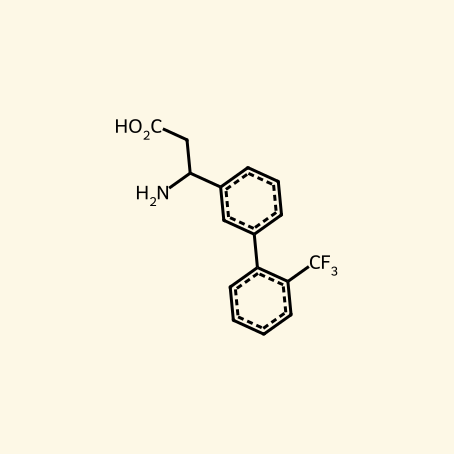 NC(CC(=O)O)c1cccc(-c2ccccc2C(F)(F)F)c1